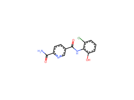 NC(=O)c1ccc(C(=O)Nc2c(O)cccc2Cl)cn1